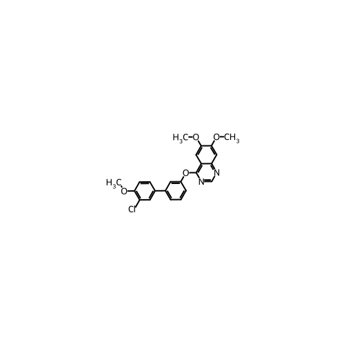 COc1ccc(-c2cccc(Oc3ncnc4cc(OC)c(OC)cc34)c2)cc1Cl